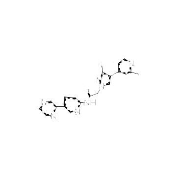 Cc1cc(-c2cn(CC(=O)Nc3ccc(-c4cnccn4)cn3)nc2C)ccn1